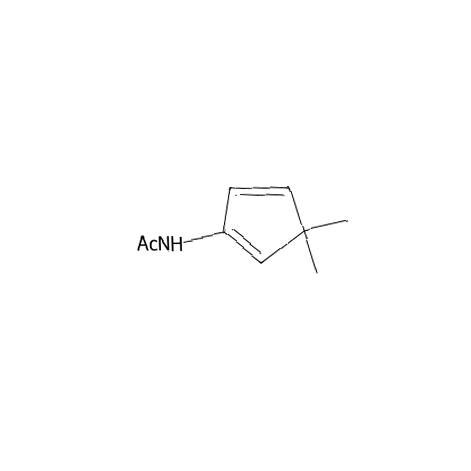 CC(=O)NC1=CC(C)(C)C=C1